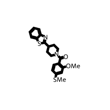 COc1cc(SC)ccc1C(=O)N1CCC(c2nc3ccccc3s2)CC1